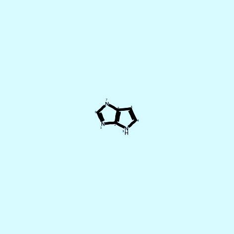 C1=Nc2[nH]ccc2[N]1